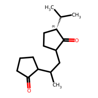 CC(CC1CC[C@H](C(C)C)C1=O)C1CCCC1=O